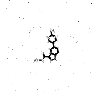 COC(=O)C1=N[N]c2ccc(-c3cnc(C)nc3)cc21